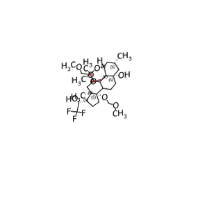 COCO[C@@H]1C[C@]2(C)[C@@H](C(O)C(F)(F)F)CC[C@]2(OCOC)C2CC[C@]3(O)C[C@@H](C)C[C@H]4OC(C)(C)OC[C@]43C21